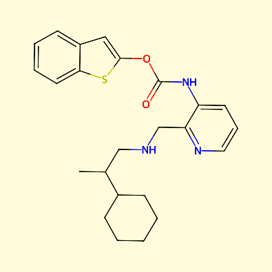 CC(CNCc1ncccc1NC(=O)Oc1cc2ccccc2s1)C1CCCCC1